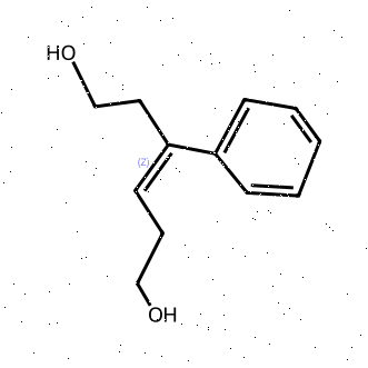 OCC/C=C(/CCO)c1ccccc1